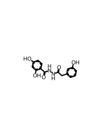 O=C(Cc1cccc(O)c1)NNC(=O)c1ccc(O)cc1O